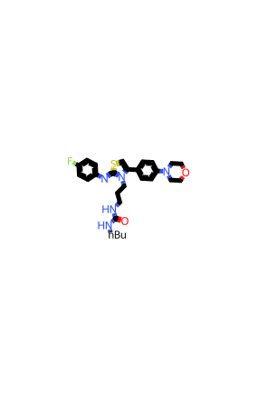 CCCCNC(=O)NCCCn1c(-c2ccc(N3CCOCC3)cc2)csc1=Nc1ccc(F)cc1